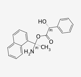 C[C@@](N)(OC(=O)[C@H](O)c1ccccc1)c1cccc2ccccc12